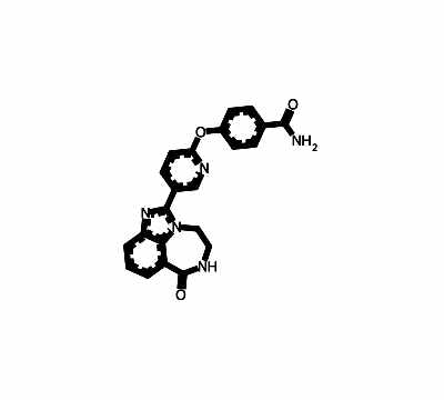 NC(=O)c1ccc(Oc2ccc(-c3nc4cccc5c4n3CCNC5=O)cn2)cc1